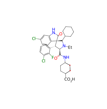 CCN1C(C2CCCCC2)[C@@]2(C(=O)Nc3cc(Cl)ccc32)[C@@H](c2cccc(Cl)c2F)[C@@H]1C(=O)NC12CCC(C(=O)O)(CC1)CC2